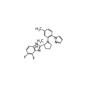 Cc1c[c]c(-n2cccn2)c(N2CCC[C@@]2(C)c2nc3c(F)c(F)ccc3[nH]2)c1